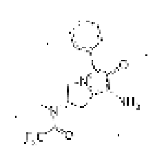 CN(C(=O)C(F)(F)F)[C@H]1Cc2c(N)c(=O)n(-c3ccccc3)n2C1